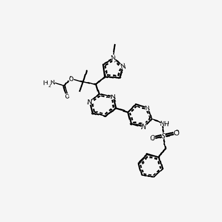 Cn1cc(C(c2nccc(-c3cnc(NS(=O)(=O)Cc4ccccc4)nc3)n2)C(C)(C)OC(N)=O)cn1